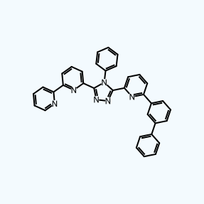 c1ccc(-c2cccc(-c3cccc(-c4nnc(-c5cccc(-c6ccccn6)n5)n4-c4ccccc4)n3)c2)cc1